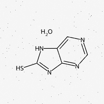 O.Sc1nc2ncncc2[nH]1